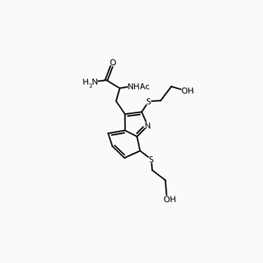 CC(=O)NC(CC1=C(SCCO)N=C2C1=CC=CC2SCCO)C(N)=O